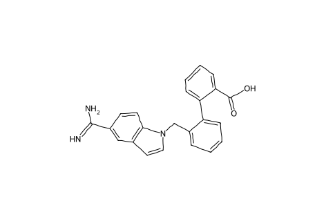 N=C(N)c1ccc2c(ccn2Cc2ccccc2-c2ccccc2C(=O)O)c1